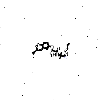 C#Cc1cnc2ccc(OC(SC)C(=O)NC(C)(C)/C=N\OCC=C)cc2c1